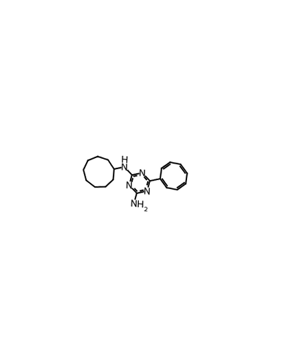 Nc1nc(NC2CCCCCCCC2)nc(C2=C/C=C\C=C/C=C\2)n1